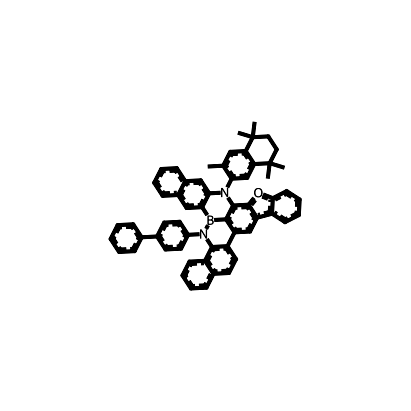 Cc1cc2c(cc1N1c3cc4ccccc4cc3B3c4c(cc5c(oc6ccccc65)c41)-c1ccc4ccccc4c1N3c1ccc(-c3ccccc3)cc1)C(C)(C)CCC2(C)C